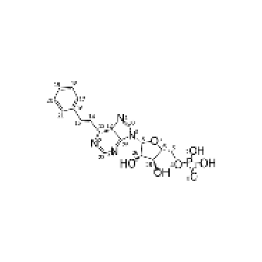 O=P(O)(O)OC[C@H]1O[C@@H](n2cnc3c(C=Cc4ccccc4)ncnc32)[C@H](O)[C@@H]1O